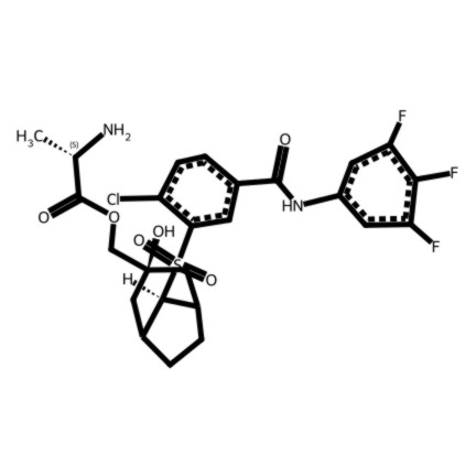 C[C@H](N)C(=O)OC[C@]1(O)CC2CCC(C1)[C@H]2S(=O)(=O)c1cc(C(=O)Nc2cc(F)c(F)c(F)c2)ccc1Cl